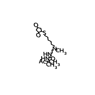 CC(=O)C(C)(C)NC(=O)NCCN(C)CCCCCCSC1CC(=O)CC1=O